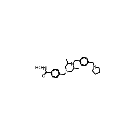 CC1CN(Cc2ccc(C(=O)NO)cc2)CC(C)N1Cc1ccc(CN2CCCC2)cc1